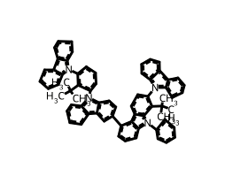 CC(C)(C)c1c(-n2c3ccccc3c3ccccc32)cccc1-n1c2ccccc2c2cc(-c3cccc4c3c3ccc(-n5c6ccccc6c6ccccc65)c(C(C)(C)C)c3n4-c3ccccc3)ccc21